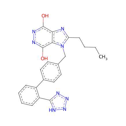 CCCCc1nc2c(O)nnc(O)c2n1Cc1ccc(-c2ccccc2-c2nnn[nH]2)cc1